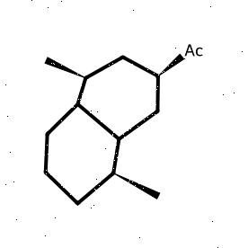 CC(=O)[C@H]1CC2C(CCC[C@@H]2C)[C@@H](C)C1